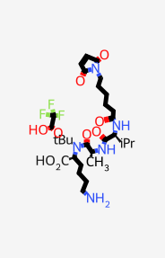 CC(C)[C@H](NC(=O)CCCCCN1C(=O)C=CC1=O)C(=O)N[C@@H](C)C(=O)N([C@@H](CCCCN)C(=O)O)C(C)(C)C.O=C(O)C(F)(F)F